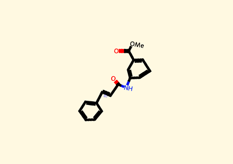 COC(=O)c1cccc(NC(=O)/C=C/c2ccccc2)c1